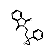 O=C1c2ccccc2C(=O)N1CCC1(c2ccccc2)CO1